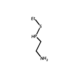 CCSPCCN